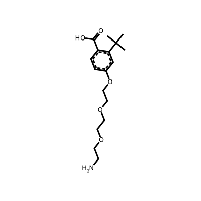 CC(C)(C)c1cc(OCCOCCOCCN)ccc1C(=O)O